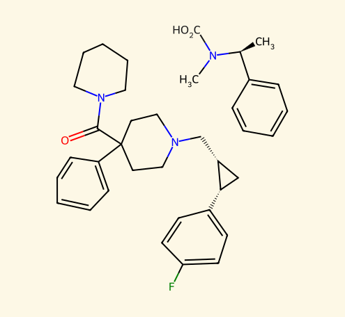 C[C@@H](c1ccccc1)N(C)C(=O)O.O=C(N1CCCCC1)C1(c2ccccc2)CCN(C[C@@H]2C[C@@H]2c2ccc(F)cc2)CC1